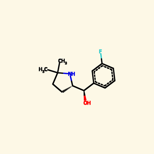 CC1(C)CC[C@@H]([C@H](O)c2cccc(F)c2)N1